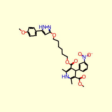 COC(=O)C1=C(C)NC(C)=C(C(=O)OCCCCCCOc2cc(-c3ccc(OC)cc3)[nH]n2)C1c1cccc([N+](=O)[O-])c1